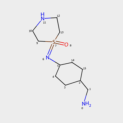 NCC1CCC(N=S2(=O)CCNCC2)CC1